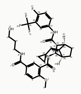 COc1ccc(C(=O)NCCCO)cc1C(=O)N[C@H]1[C@@H](C(=O)Nc2ccc(F)c(C(F)(F)F)c2)[C@H]2CC[C@@H]1/C2=C\C1CC1